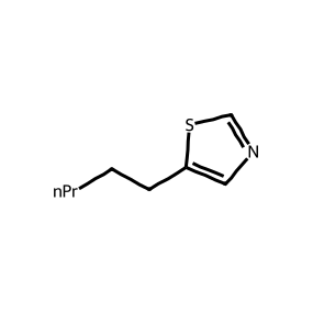 [CH2]CCCCc1cncs1